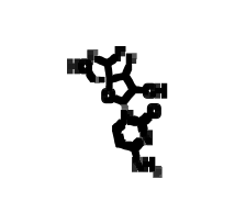 Nc1ccn([C@@H]2O[C@@](CO)(C(F)F)C(F)C2O)c(=O)n1